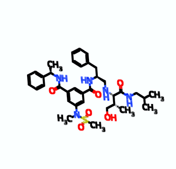 CC(C)CNC(=O)[C@@H](NC[C@H](Cc1ccccc1)NC(=O)c1cc(C(=O)N[C@H](C)c2ccccc2)cc(N(C)S(C)(=O)=O)c1)[C@H](C)CO